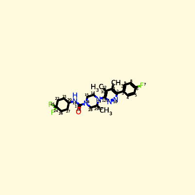 Cc1c(-c2ccc(F)cc2)nnc(N2CCN(C(=O)NC3CCC(F)(F)CC3)CC2C)c1C